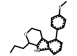 CCC[C]1OCCc2c1[nH]c1cccc(-c3ccc(SC)cc3)c21